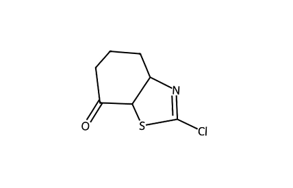 O=C1CCCC2N=C(Cl)SC12